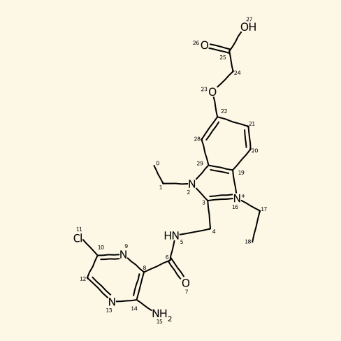 CCn1c(CNC(=O)c2nc(Cl)cnc2N)[n+](CC)c2ccc(OCC(=O)O)cc21